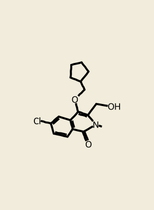 Cn1c(CO)c(OCC2CCCC2)c2cc(Cl)ccc2c1=O